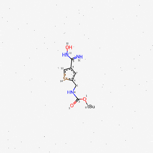 CC(C)(C)OC(=O)NCc1cc(C(=N)NO)cs1